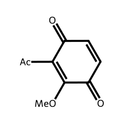 COC1=C(C(C)=O)C(=O)C=CC1=O